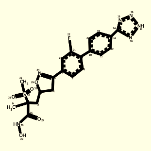 CC(CC1CC(c2ccc(-c3ccc(-c4nn[nH]n4)cc3)c(F)c2)=NO1)(C(=O)NO)S(C)(=O)=O